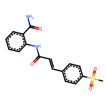 CS(=O)(=O)c1ccc(C=CC(=O)Nc2ccccc2C(N)=O)cc1